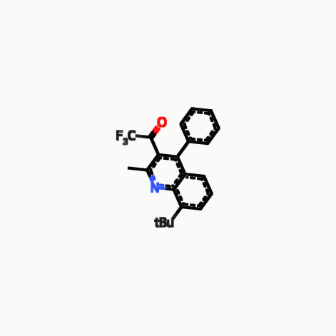 Cc1nc2c(C(C)(C)C)cccc2c(-c2ccccc2)c1C(=O)C(F)(F)F